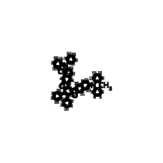 Cc1ccccc1N(c1ccccc1)c1ccc2cc3c(cc2c1)oc1c(-c2ccccc2)c(-c2ccccc2)c2oc4cc5cc(N(c6ccccc6)c6ccccc6C)ccc5cc4c2c13